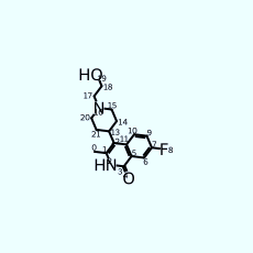 Cc1[nH]c(=O)c2cc(F)ccc2c1C1CCN(CCO)CC1